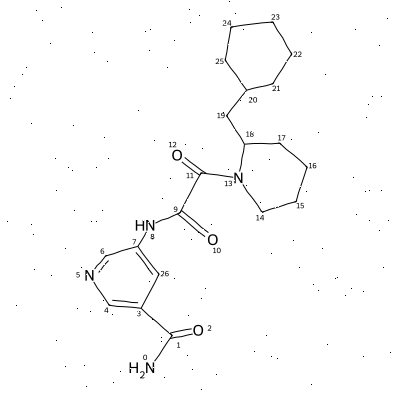 NC(=O)c1cncc(NC(=O)C(=O)N2CCCCC2CC2CCCCC2)c1